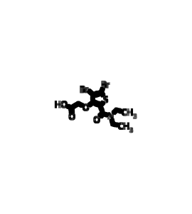 CCN(CC)C(=O)c1sc(Br)c(Br)c1OCC(=O)O